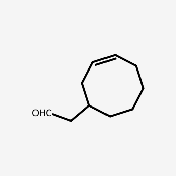 O=CCC1C/C=C\CCCC1